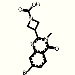 Cn1c(C2CN(C(=O)O)C2)nc2cc(Br)ccc2c1=O